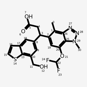 Cc1c(C(CC(=O)O)c2cc(CO)c3sccc3c2)cc(OC(F)F)c2c1nnn2C